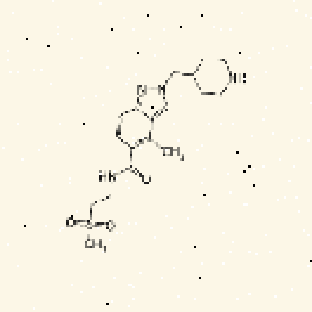 Cc1c(C(=O)NCCS(C)(=O)=O)ccc2nn(CC3CCNCC3)cc12